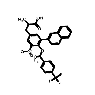 CC(Cc1cc(-c2ccc3ccccc3c2)c(OC(C)c2ccc(C(F)(F)F)cc2)c([N+](=O)[O-])c1)C(=O)O